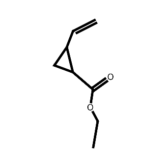 C=C[C]1CC1C(=O)OCC